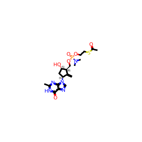 C=C1[C@H](COP(=O)(OCCSC(C)=O)N(C)C)[C@@H](O)C[C@@H]1n1cnc2c(=O)[nH]c(C)nc21